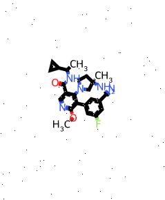 COc1ncc(C(=O)NC(C)C2CC2)c(N2CC[C@](C)(N)C2)c1-c1cc(F)cc(C#N)c1